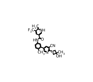 C=C1NC=C(C(=O)Nc2ccc(C)c(-c3cnc(N4CC(C)(O)C4)c(C#N)c3)c2)C=C1C(F)(F)F